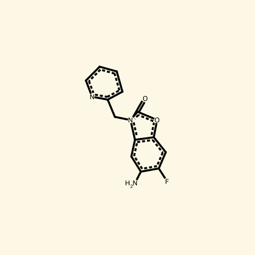 Nc1cc2c(cc1F)oc(=O)n2Cc1ccccn1